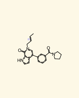 C/C=C/Cn1cc(-c2cccc(C(=O)N3CCCC3)c2)c2cc[nH]c2c1=O